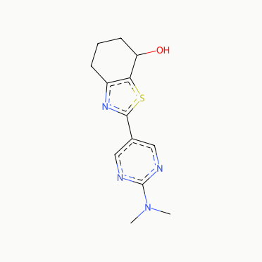 CN(C)c1ncc(-c2nc3c(s2)C(O)CCC3)cn1